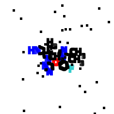 CCC1(CN(C)c2ncncc2Oc2ccc(F)cc2-n2ccnc2C(C)C)CCNC1